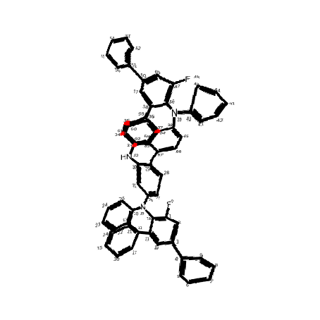 Fc1cc(-c2ccccc2)cc(-c2ccccc2)c1N(c1ccccc1)c1ccc2c(c1)Nc1cccc3c(N(c4ccccc4)c4c(F)cc(-c5ccccc5)cc4-c4ccccc4)ccc-2c13